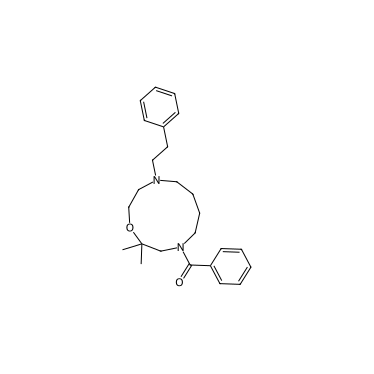 CC1(C)CN(C(=O)c2ccccc2)CCCCN(CCc2ccccc2)CCO1